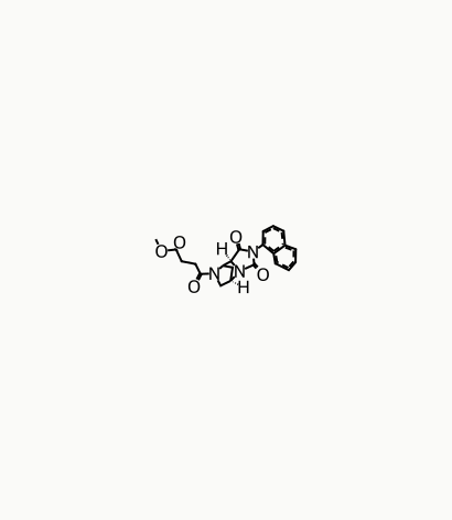 COC(=O)CCC(=O)N1C[C@H]2CC1[C@H]1C(=O)N(c3cccc4ccccc34)C(=O)N21